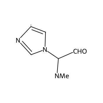 CNC(C=O)n1c[c]nc1